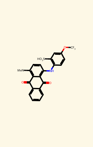 CNc1ccc(Nc2ccc(OC(F)(F)F)cc2S(=O)(=O)O)c2c1C(=O)c1ccccc1C2=O